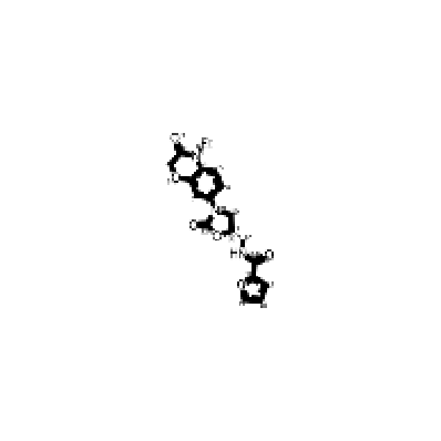 CCN1C(=O)COc2cc(N3C[C@H](CNC(=O)c4ccco4)OC3=O)ccc21